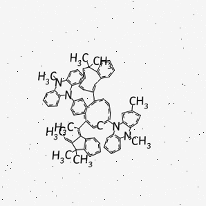 C/C=C1\C(=C(/C)c2ccc(N3c4ccccc4N(C)c4ccc(C)cc43)cccc(C3=C\c4ccccc4C(C)(C)/C=C/C=C\3)c3cc(N4c5ccccc5N(C)c5ccccc54)ccc23)c2ccccc2C1(C)C